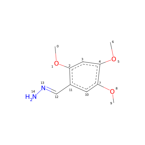 COc1cc(OC)c(OC)cc1C=NN